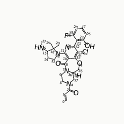 C=CC(=O)N1CCN2C(=O)c3c(N4CCC(NC)C4(C)C)nc(-c4c(O)cccc4F)c(Cl)c3OC[C@H]2C1